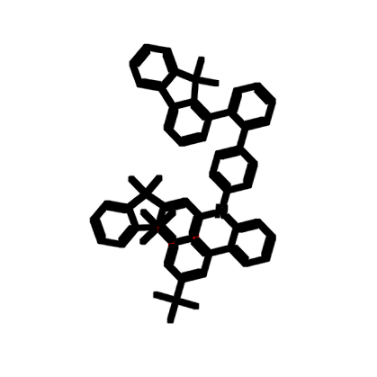 CC(C)(C)c1cc(-c2ccccc2N(c2ccc(-c3ccccc3-c3cccc4c3C(C)(C)c3ccccc3-4)cc2)c2ccc3c(c2)C(C)(C)c2ccccc2-3)cc(C(C)(C)C)c1